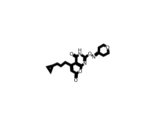 O=c1cc(CCCC2CC2)c2c(=O)[nH]c(ON=C3CCOCC3)nc2o1